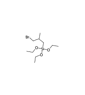 CCO[Si](CC(C)CBr)(OCC)OCC